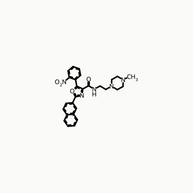 CN1CCN(CCNC(=O)c2nc(-c3ccc4ccccc4c3)oc2-c2ccccc2[N+](=O)[O-])CC1